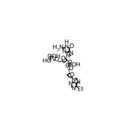 CCc1ncnc2c1ncn2[C@H]1CC[C@@H](COP(=O)(O)O[C@@H]2C[C@@H](COCP(=O)(O)O)O[C@H]2n2cnc3c(=O)[nH]c(N)nc32)O1